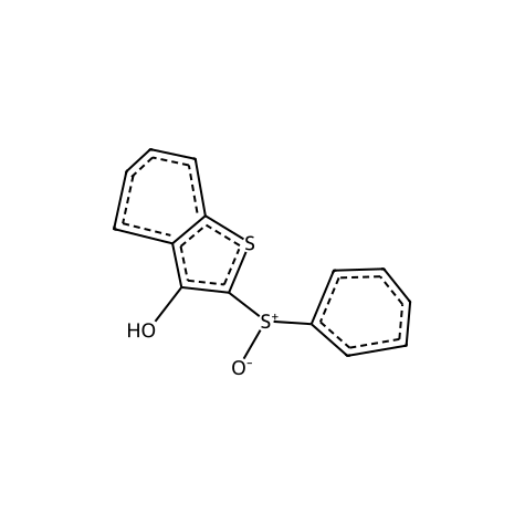 [O-][S+](c1ccccc1)c1sc2ccccc2c1O